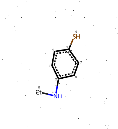 CCNc1ccc(S)cc1